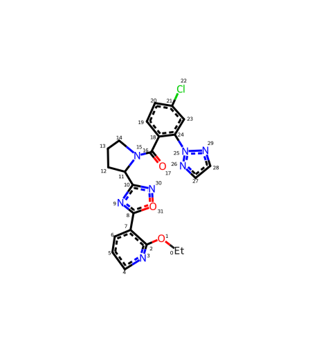 CCOc1ncccc1-c1nc(C2CCCN2C(=O)c2ccc(Cl)cc2-n2nccn2)no1